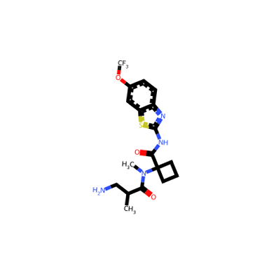 CC(CN)C(=O)N(C)C1(C(=O)Nc2nc3ccc(OC(F)(F)F)cc3s2)CCC1